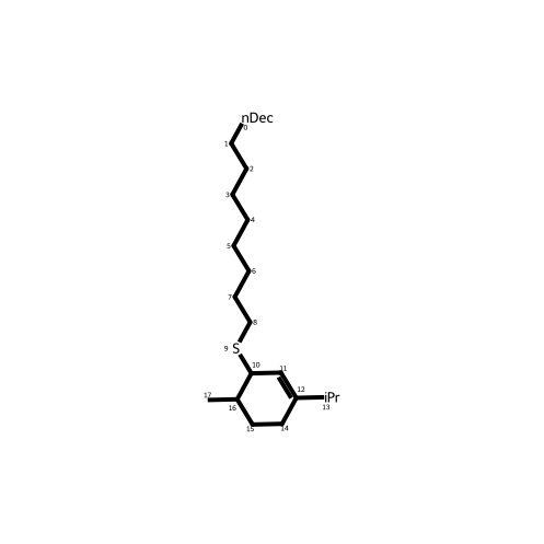 CCCCCCCCCCCCCCCCCCSC1C=C(C(C)C)CCC1C